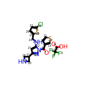 O=C(O)C(F)(F)F.O=C(c1ccsc1)n1nc(C2CNC2)cc1NCc1ccc(Cl)s1